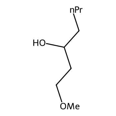 [CH2]CCCC(O)CCOC